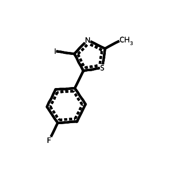 Cc1nc(I)c(-c2ccc(F)cc2)s1